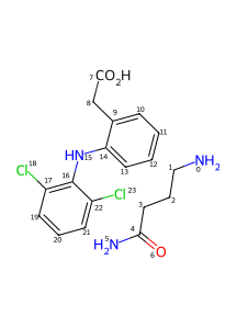 NCCCC(N)=O.O=C(O)Cc1ccccc1Nc1c(Cl)cccc1Cl